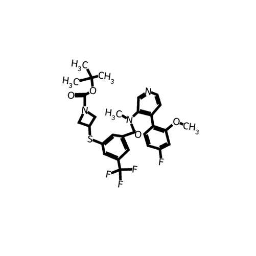 COc1cc(F)ccc1-c1ccncc1N(C)C(=O)c1cc(SC2CN(C(=O)OC(C)(C)C)C2)cc(C(F)(F)F)c1